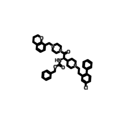 O=C(N[C@@H](C(=O)N1CCN(Cc2cccc3c2OCCC3)CC1)C1CCN(CCc2cc(Cl)ccc2-c2ccccc2)CC1)OCc1ccccc1